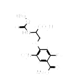 COC(=O)c1cc([N+](=O)[O-])c(SCC(NC(=O)OC(C)(C)C)C(=O)O)cc1F